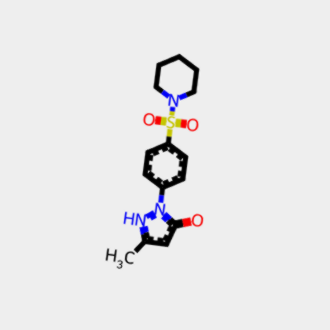 Cc1cc(=O)n(-c2ccc(S(=O)(=O)N3CCCCC3)cc2)[nH]1